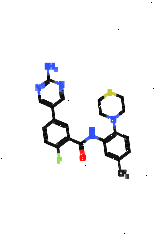 Nc1ncc(-c2ccc(F)c(C(=O)Nc3cc(C(F)(F)F)ccc3N3CCSCC3)c2)cn1